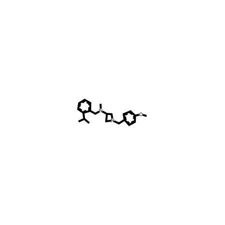 COc1ccc(CN2CC(N(C)Cc3ccccc3C(C)C)C2)cc1